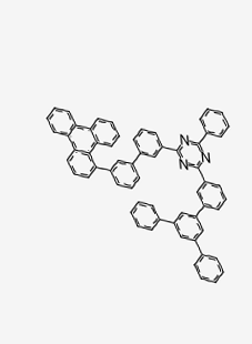 c1ccc(-c2cc(-c3ccccc3)cc(-c3cccc(-c4nc(-c5ccccc5)nc(-c5cccc(-c6cccc(-c7cccc8c9ccccc9c9ccccc9c78)c6)c5)n4)c3)c2)cc1